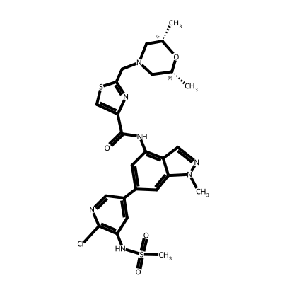 C[C@@H]1CN(Cc2nc(C(=O)Nc3cc(-c4cnc(Cl)c(NS(C)(=O)=O)c4)cc4c3cnn4C)cs2)C[C@H](C)O1